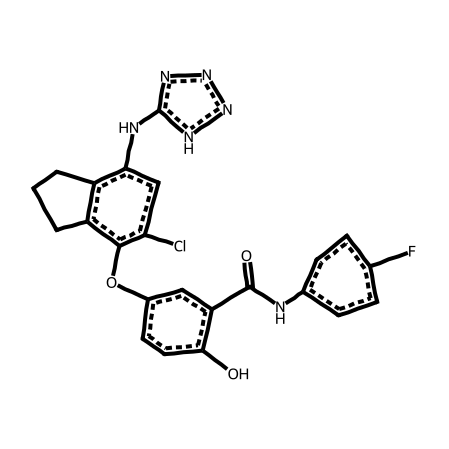 O=C(Nc1ccc(F)cc1)c1cc(Oc2c(Cl)cc(Nc3nnn[nH]3)c3c2CCC3)ccc1O